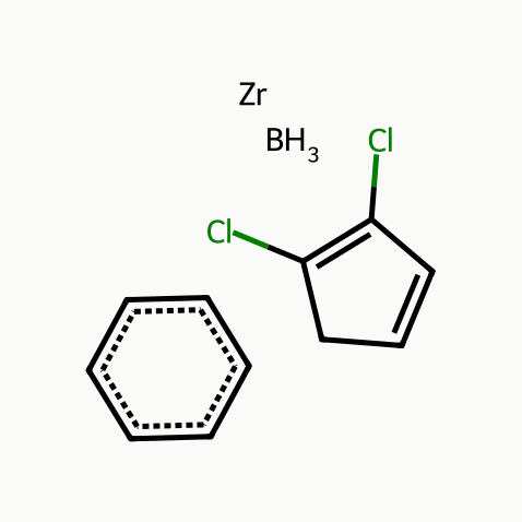 B.ClC1=C(Cl)CC=C1.[Zr].c1ccccc1